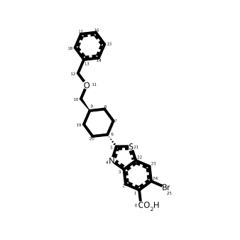 O=C(O)c1cc2nc([C@H]3CC[C@H](COCc4ccccc4)CC3)sc2cc1Br